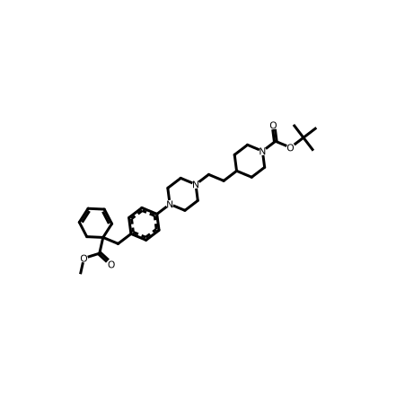 COC(=O)C1(Cc2ccc(N3CCN(CCC4CCN(C(=O)OC(C)(C)C)CC4)CC3)cc2)C=CC=CC1